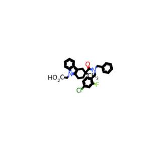 CC1(C(=O)N(Cc2ccccc2)Cc2ccc(Cl)cc2F)CCc2c(c3ccccc3n2CC(=O)O)C1